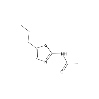 CCCc1cnc(NC(C)=O)s1